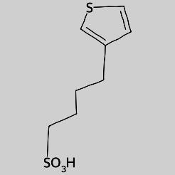 O=S(=O)(O)CCCCc1ccsc1